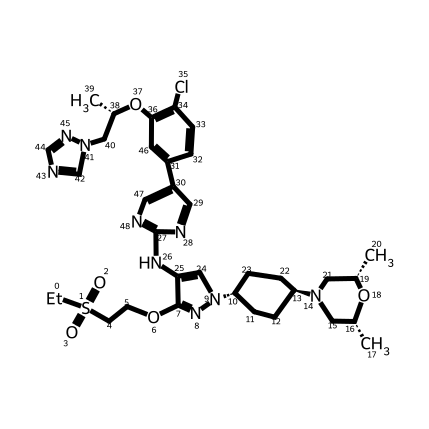 CCS(=O)(=O)CCOc1nn([C@H]2CC[C@H](N3C[C@@H](C)O[C@@H](C)C3)CC2)cc1Nc1ncc(-c2ccc(Cl)c(O[C@@H](C)Cn3cncn3)c2)cn1